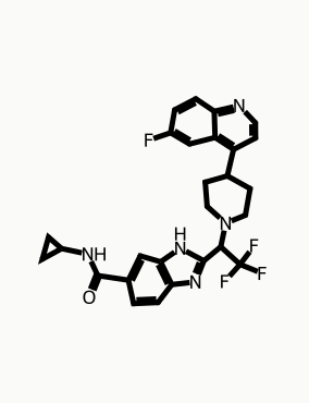 O=C(NC1CC1)c1ccc2nc(C(N3CCC(c4ccnc5ccc(F)cc45)CC3)C(F)(F)F)[nH]c2c1